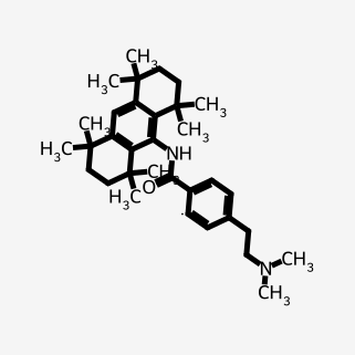 CN(C)CCc1c[c]c(C(=O)Nc2c3c(cc4c2C(C)(C)CCC4(C)C)C(C)(C)CCC3(C)C)cc1